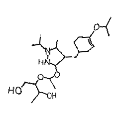 CC(C)OC1=CCC(CC2C(OC(C)OC(CO)C(C)O)NN(C(C)C)C2C)CC1